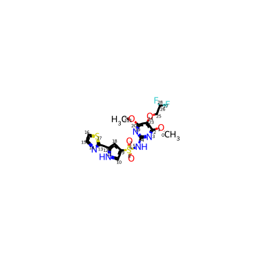 COc1nc(NS(=O)(=O)c2c[nH]c(-c3nccs3)c2)nc(OC)c1OCC(F)F